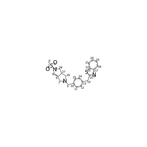 CS(=O)(=O)N1C=C2CN(Cc3ccc(Cc4nc5ccccc5s4)cc3)CC2C1